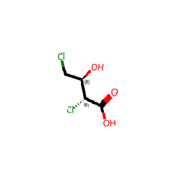 O=C(O)[C@H](Cl)[C@H](O)CCl